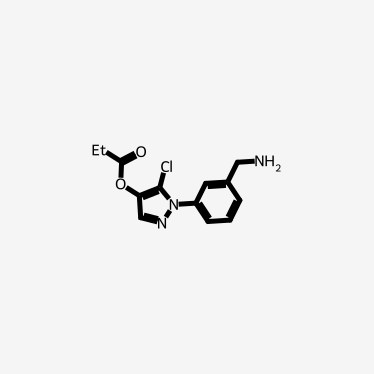 CCC(=O)Oc1cnn(-c2cccc(CN)c2)c1Cl